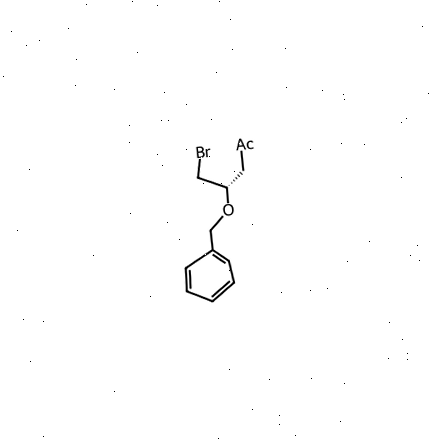 CC(=O)C[C@@H](CBr)OCc1ccccc1